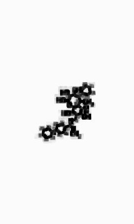 C=N/C(=N\Cc1c(O)c(O)c2c(c1O)O/C(O)=C(O)\C(O)=C(\c1ccccc1)C2=C)c1ccc(C2C=CC=CC2)cc1